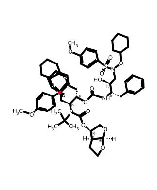 COc1ccc(S(=O)(=O)N(C[C@H](OC(=O)N[C@@H](Cc2ccccc2)[C@@H](O)CN(OC2CCCCC2)S(=O)(=O)c2ccc(OC)cc2)[C@H](Cc2ccccc2)N(C(=O)O[C@H]2CO[C@H]3OCC[C@H]32)C(C)(C)C)OC2CCCCC2)cc1